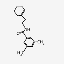 Cc1cc(C)cc(C(=O)NCCC2=CCCCC2)c1